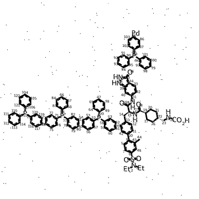 CCN(CC)S(=O)(=O)c1ccc(-c2ccc(C[C@H](NC(=O)[C@H]3CC[C@H](CNC(=O)O)CC3)C(=O)Nc3ccc4c(=O)[nH][nH]c4c3)cc2)c(C)c1.[Pd].c1ccc(P(c2ccccc2)c2ccccc2)cc1.c1ccc(P(c2ccccc2)c2ccccc2)cc1.c1ccc(P(c2ccccc2)c2ccccc2)cc1.c1ccc(P(c2ccccc2)c2ccccc2)cc1